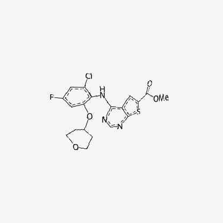 COC(=O)c1cc2c(Nc3c(Cl)cc(F)cc3OC3CCOCC3)ncnc2s1